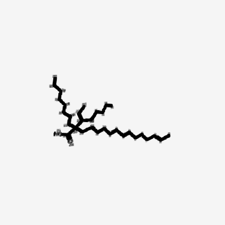 CCCCCCCCCCCCCCC(CCCCCCCC)(C(=O)O)C(CC)CCCCC